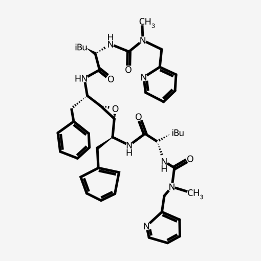 CC[C@H](C)[C@H](NC(=O)N(C)Cc1ccccn1)C(=O)N[C@@H](Cc1ccccc1)[C@@H]1O[C@@H]1[C@H](Cc1ccccc1)NC(=O)[C@@H](NC(=O)N(C)Cc1ccccn1)[C@@H](C)CC